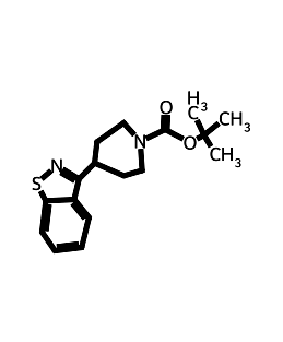 CC(C)(C)OC(=O)N1CCC(c2nsc3ccccc23)CC1